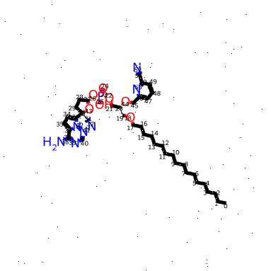 CCCCCCCCCCCCCCCCCCOC[C@H](COP(=O)(O)O[C@@H]1CC[C@](C#N)(c2ccc3c(N)ncnn23)O1)OCc1cccc(C#N)n1